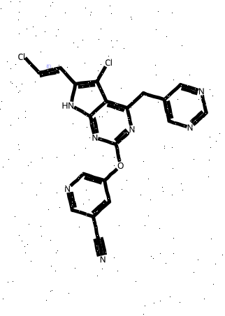 N#Cc1cncc(Oc2nc(Cc3cncnc3)c3c(Cl)c(/C=C/Cl)[nH]c3n2)c1